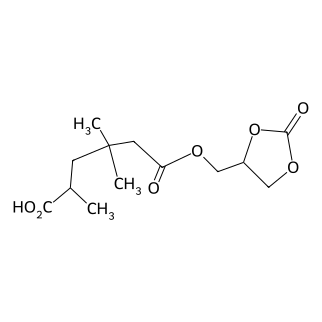 CC(CC(C)(C)CC(=O)OCC1COC(=O)O1)C(=O)O